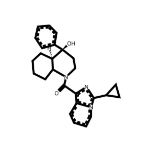 O=C(c1nc(C2CC2)n2ccccc12)N1CC[C@@](O)(c2ccccc2)[C@@H]2CCCCC21